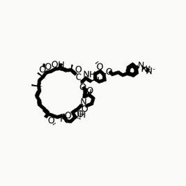 CO[C@H]1C[C@@H]2CC[C@@H](C)[C@@](O)(O2)C(=O)C(=O)N2CCCC[C@H]2C(=O)O[C@H]([C@H](N)C[C@@H]2CC[C@@H](OCCCc3ccc(N=[N+]=[N-])cc3)[C@H](OC)C2)CC(=O)[C@H](C)/C=C(\C)[C@@H](O)[C@@H](OC)C(=O)[C@H](C)C[C@H](C)/C=C/C=C/C=C/1C